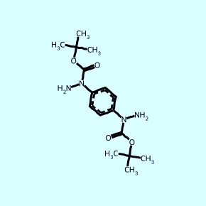 CC(C)(C)OC(=O)N(N)c1ccc(N(N)C(=O)OC(C)(C)C)cc1